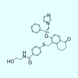 O=C(NCCO)c1ccc(SCc2c(O[C@H](Cn3ccnc3)c3ccccc3)ccc3c2CCCC3=O)cc1